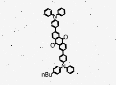 CCCCc1ccc(N(c2ccccc2)c2ccc(-c3ccc4c(c3)C(=O)c3ccc(-c5ccc(N(c6ccccc6)c6ccccc6)cc5)cc3C4=O)cc2)cc1